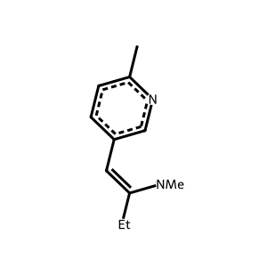 CC/C(=C/c1ccc(C)nc1)NC